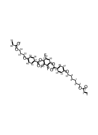 C=CC(=O)OCCCCCCOc1ccc(C(=O)Oc2cc(F)c(OC(=O)c3ccc(OCCCOC(=O)C=C)cc3)c(F)c2F)cc1